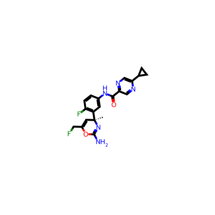 C[C@@]1(c2cc(NC(=O)c3cnc(C4CC4)cn3)ccc2F)C=C(CF)OC(N)=N1